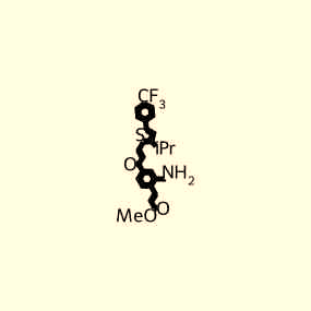 COC(=O)C=Cc1ccc(C(=O)C=Cc2sc(-c3ccc(C(F)(F)F)cc3)cc2C(C)C)cc1CN